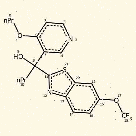 CCCOc1ccncc1C(O)(CCC)c1nc2ccc(OC(F)(F)F)cc2s1